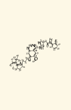 COc1cc2c(Nc3ncc(CC(=O)Nc4ccccc4F)s3)ncnc2cc1OCCCN1CCC[C@@H]1[C](C(C)(C)C)C(C)(C)C